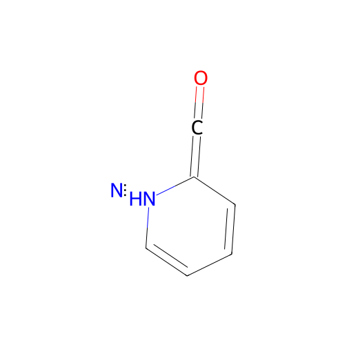 O=C=C1C=CC=CN1.[N]